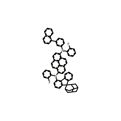 Fc1ccccc1N(c1cccc(-c2cccc3ccccc23)c1)c1ccc2ccc3c(N(c4ccccc4F)c4cccc5c4-c4ccccc4C54C5CC6CC(C5)CC4C6)ccc4ccc1c2c43